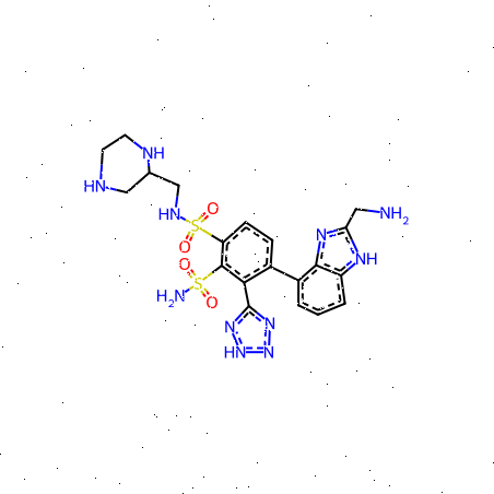 NCc1nc2c(-c3ccc(S(=O)(=O)NCC4CNCCN4)c(S(N)(=O)=O)c3-c3nn[nH]n3)cccc2[nH]1